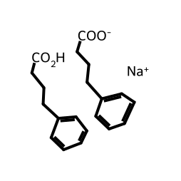 O=C(O)CCCc1ccccc1.O=C([O-])CCCc1ccccc1.[Na+]